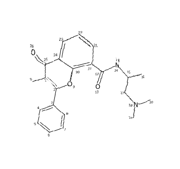 Cc1c(-c2ccccc2)oc2c(C(=O)NC(C)CN(C)C)cccc2c1=O